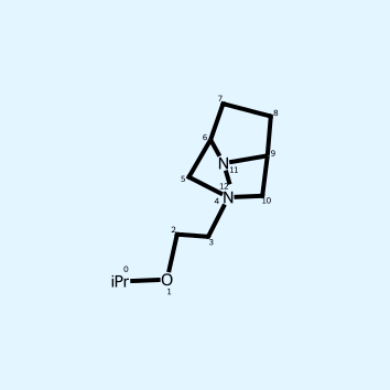 CC(C)OCCN1CC2CCC(C1)N2C